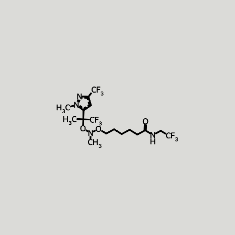 CN(OCCCCCC(=O)NCC(F)(F)F)OC(C)(c1cc(C(F)(F)F)nn1C)C(F)(F)F